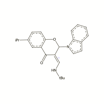 CC(C)c1ccc2c(c1)C(=O)/C(=C\NC(C)(C)C)C(n1ccc3ccccc31)O2